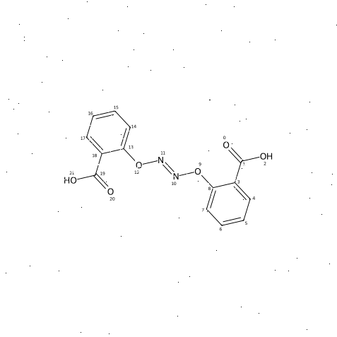 O=C(O)c1ccccc1ON=NOc1ccccc1C(=O)O